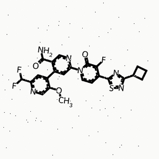 COc1cnc(C(F)F)cc1-c1cc(-n2ccc(-c3nc(C4CCC4)ns3)c(F)c2=O)ncc1C(N)=O